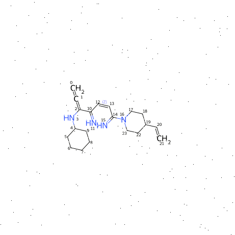 C=C=C(NC1CCCCC1)C(=N)/C=C\C(=N)N1CCC(C=C)CC1